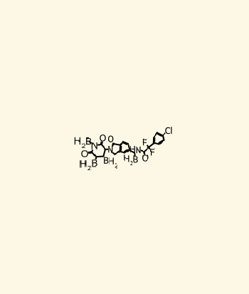 BC(NC(=O)C(F)(F)c1ccc(Cl)cc1)c1ccc2c(c1)CN(C1C(=O)N(B)C(=O)C(B)C1B)C2=O